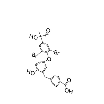 CC(O)(P=O)c1cc(Br)c(Oc2ccc(O)c(Cc3ccc(C(=O)O)cc3)c2)c(Br)c1